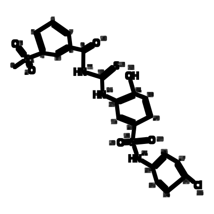 CS(=O)(=O)c1cccc(C(=O)NC(=S)Nc2cc(S(=O)(=O)Nc3ccc(Cl)cc3)ccc2O)c1